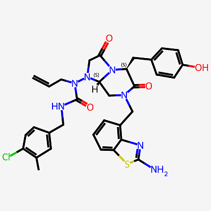 C=CCN(C(=O)NCc1ccc(Cl)c(C)c1)N1CC(=O)N2[C@@H](Cc3ccc(O)cc3)C(=O)N(Cc3cccc4sc(N)nc34)C[C@@H]21